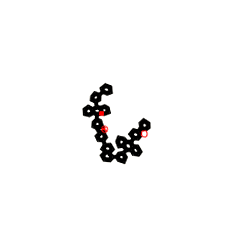 c1ccc(-c2cccc(-c3c4ccccc4c(-c4ccc5c(c4)oc4cc(-c6ccc7c(-c8cccc(-c9c%10ccccc%10c(-c%10ccc%11c(c%10)oc%10ccccc%10%11)c%10ccccc9%10)c8)cccc7c6)ccc45)c4ccccc34)c2)cc1